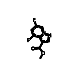 COC(=O)c1cnn2cc(F)cc(F)c12